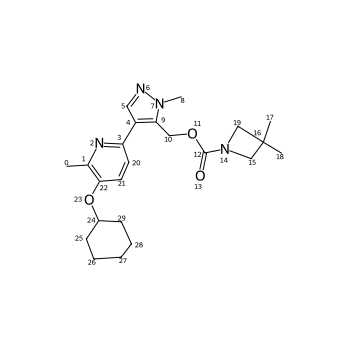 Cc1nc(-c2cnn(C)c2COC(=O)N2CC(C)(C)C2)ccc1OC1CCCCC1